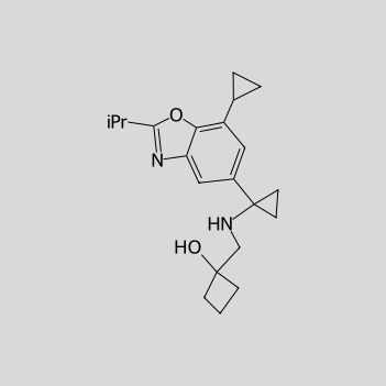 CC(C)c1nc2cc(C3(NCC4(O)CCC4)CC3)cc(C3CC3)c2o1